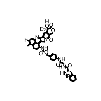 CC[C@@]1(O)C(=O)OCc2c1cc1n(c2=O)Cc2c-1nc1cc(F)c(C)c3c1c2[C@@H](NC(=O)OCc1ccc(NC(=O)CNC(=O)[C@H](Cc2ccccc2)NC(C)C)cc1)CC3